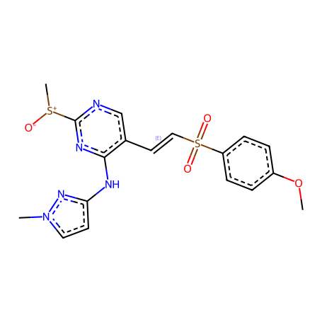 COc1ccc(S(=O)(=O)/C=C/c2cnc([S+](C)[O-])nc2Nc2ccn(C)n2)cc1